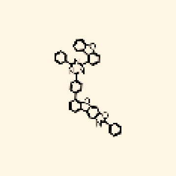 c1ccc(-c2nc(-c3ccc(-c4cccc5c4oc4cc6oc(-c7ccccc7)nc6cc45)cc3)nc(-c3cccc4oc5ccccc5c34)n2)cc1